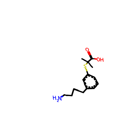 CC(C)(Sc1cccc(CCCCN)c1)C(=O)O